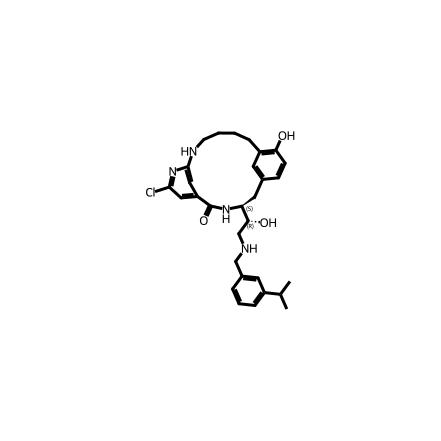 CC(C)c1cccc(CNC[C@@H](O)[C@@H]2Cc3ccc(O)c(c3)CCCCNc3cc(cc(Cl)n3)C(=O)N2)c1